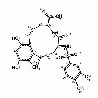 Cc1c(O)cc(O)c2c1C(=O)OC[C@H](NS(=O)(=O)c1ccc(O)c(O)c1)C(=O)N[C@H](C(=O)O)CSC2